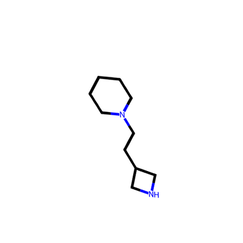 C1CCN(CCC2CNC2)CC1